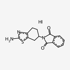 I.Nc1nc2c(s1)CC(N1C(=O)c3ccccc3C1=O)CC2